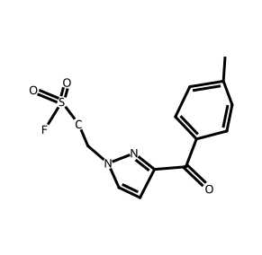 Cc1ccc(C(=O)c2ccn(CCS(=O)(=O)F)n2)cc1